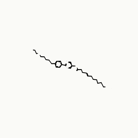 CCCCCCCC=CCCC(=O)Oc1cnc(-c2ccc(CCCCCOCCC)cc2)nc1